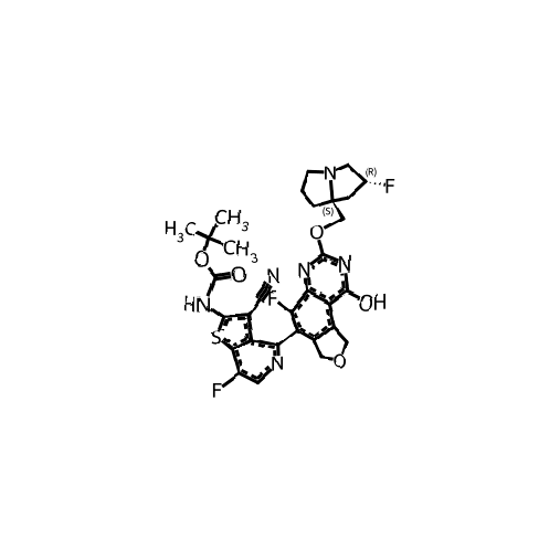 CC(C)(C)OC(=O)Nc1sc2c(F)cnc(-c3c4c(c5c(O)nc(OC[C@@]67CCCN6C[C@H](F)C7)nc5c3F)COC4)c2c1C#N